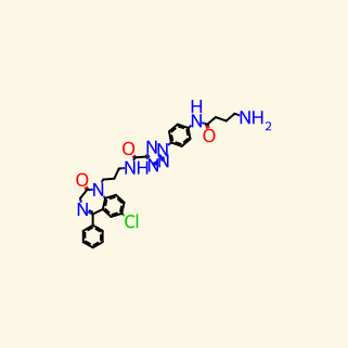 NCCCC(=O)Nc1ccc(-n2nnc(C(=O)NCCCN3C(=O)CN=C(c4ccccc4)c4cc(Cl)ccc43)n2)cc1